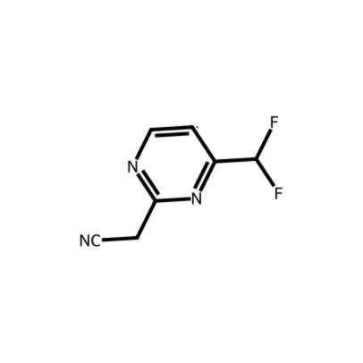 N#CCc1nc[c]c(C(F)F)n1